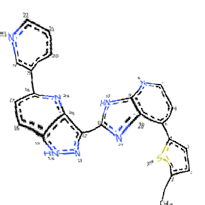 Cc1ccc(-c2ccnc3[nH]c(-c4n[nH]c5ccc(-c6cccnc6)nc45)nc23)s1